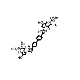 COC(=O)N[C@@H](C)C(=O)N1C[C@H](O)C[C@H]1c1ncc(-c2ccc(-c3ccc(-c4cnc([C@@H]5C[C@@H](O)CN5C(=O)[C@H](C)NC(=O)O)[nH]4)cc3)cc2)[nH]1